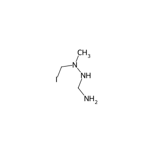 CN(CI)NCN